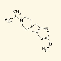 COc1cnc2c(c1)CC1(CCN(C(C)C)CC1)C2